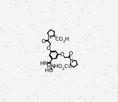 N=C(NO)c1cc(OCC(=O)N2CCC[C@@H]2C(=O)O)cc(OCC(=O)N2CCC[C@@H]2C(=O)O)c1